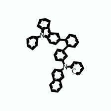 c1ccc(N(c2cccc(-c3ccccc3-c3ccc4c(c3)c3ccccc3n4-c3ccccc3)c2)c2ccc3ccccc3c2)cc1